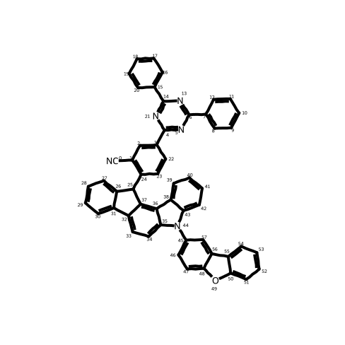 N#Cc1cc(-c2nc(-c3ccccc3)nc(-c3ccccc3)n2)ccc1C1c2ccccc2-c2ccc3c(c21)c1ccccc1n3-c1ccc2oc3ccccc3c2c1